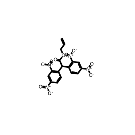 C=CCOC(=O)C(c1ccc([N+](=O)[O-])cc1[N+](=O)[O-])c1ccc([N+](=O)[O-])cc1[N+](=O)[O-]